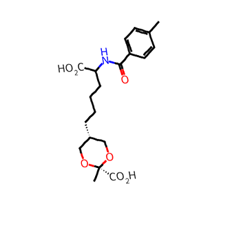 Cc1ccc(C(=O)NC(CCCC[C@H]2CO[C@@](C)(C(=O)O)OC2)C(=O)O)cc1